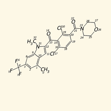 Cc1cc(C(F)(F)F)cc2c1cc(C(=O)c1c(Cl)ccc(C(=O)N3CCOCC3)c1Cl)n2C